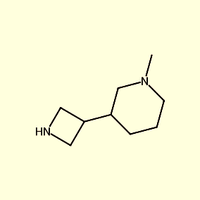 CN1CCCC(C2CNC2)C1